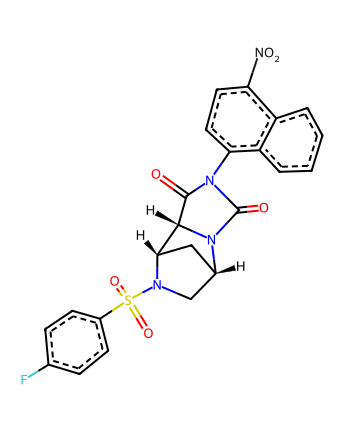 O=C1[C@H]2[C@@H]3C[C@@H](CN3S(=O)(=O)c3ccc(F)cc3)N2C(=O)N1c1ccc([N+](=O)[O-])c2ccccc12